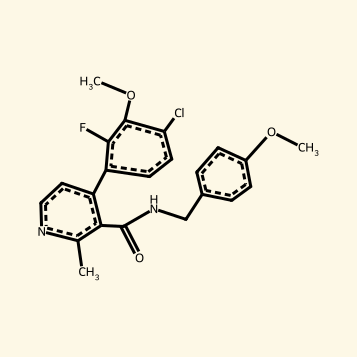 COc1ccc(CNC(=O)c2c(-c3ccc(Cl)c(OC)c3F)ccnc2C)cc1